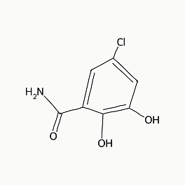 NC(=O)c1cc(Cl)cc(O)c1O